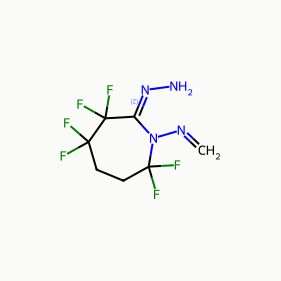 C=NN1/C(=N\N)C(F)(F)C(F)(F)CCC1(F)F